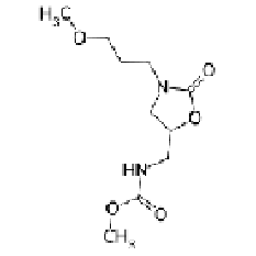 COCCCN1CC(CNC(=O)OC)OC1=O